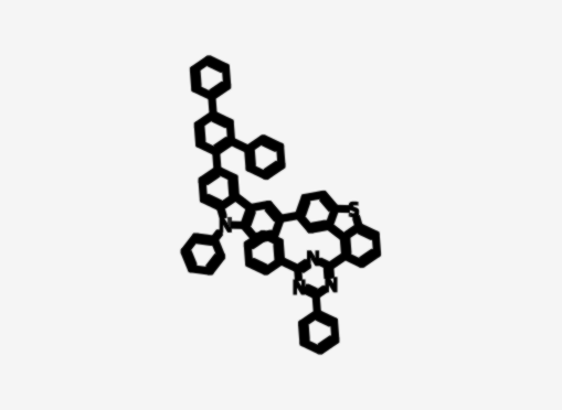 c1ccc(-c2ccc(-c3ccc4c(c3)c3cc(-c5ccc6sc7cccc(-c8nc(-c9ccccc9)nc(-c9ccccc9)n8)c7c6c5)ccc3n4-c3ccccc3)c(-c3ccccc3)c2)cc1